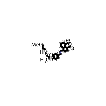 COCCCNOCC(C)(C)Oc1ccc(/C=C/c2ccc3c4c(cccc24)C(=O)OC3=O)cc1